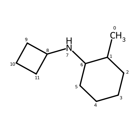 CC1CCCCC1NC1CCC1